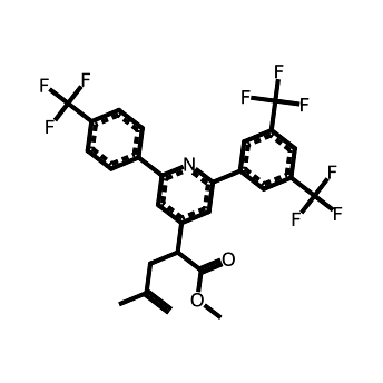 C=C(C)CC(C(=O)OC)c1cc(-c2ccc(C(F)(F)F)cc2)nc(-c2cc(C(F)(F)F)cc(C(F)(F)F)c2)c1